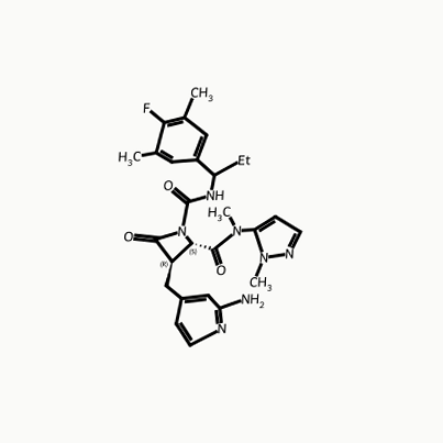 CCC(NC(=O)N1C(=O)[C@H](Cc2ccnc(N)c2)[C@H]1C(=O)N(C)c1ccnn1C)c1cc(C)c(F)c(C)c1